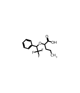 CCCC(OC(c1ccccc1)C(F)(F)F)C(=O)O